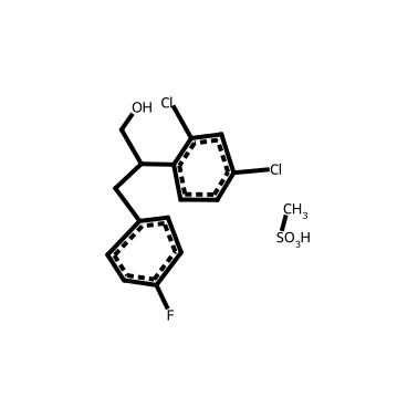 CS(=O)(=O)O.OCC(Cc1ccc(F)cc1)c1ccc(Cl)cc1Cl